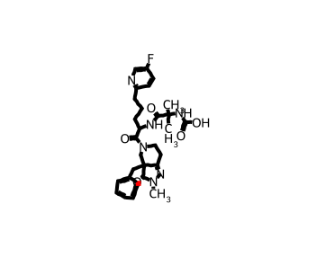 CN1N=C2CCN(C(=O)C(CCCc3ccc(F)cn3)NC(=O)C(C)(C)NC(=O)O)CC2(Cc2ccccc2)C1=O